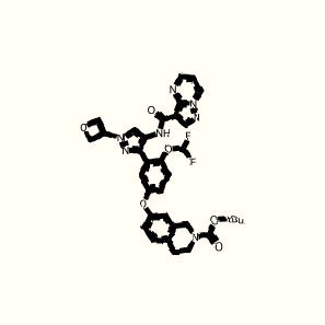 CC(C)(C)OC(=O)N1CCc2ccc(Oc3ccc(OC(F)F)c(-c4nn(C5COC5)cc4NC(=O)c4cnn5cccnc45)c3)cc2C1